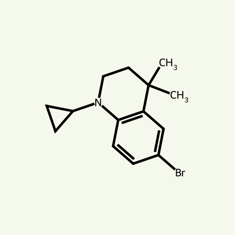 CC1(C)CCN(C2CC2)c2ccc(Br)cc21